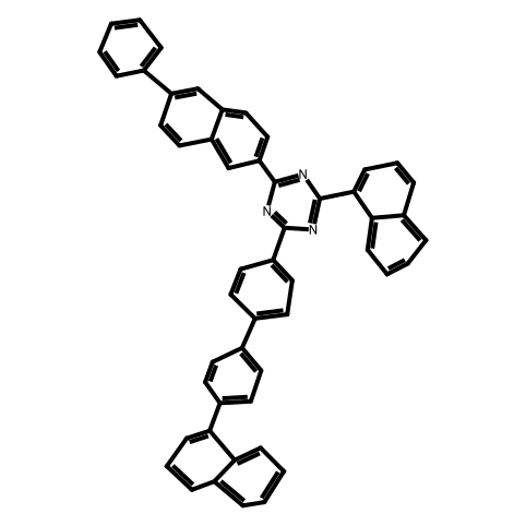 c1ccc(-c2ccc3cc(-c4nc(-c5ccc(-c6ccc(-c7cccc8ccccc78)cc6)cc5)nc(-c5cccc6ccccc56)n4)ccc3c2)cc1